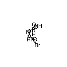 O=C(C=CCBr)NCc1cccc(-c2cc(-c3cc4c([nH]3)CCNC4=O)ccn2)c1